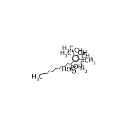 CCCCCCCCCCC(c1cc(C(C)(C)C)c(O)c(C(C)(C)C)c1)P(=O)(O)O